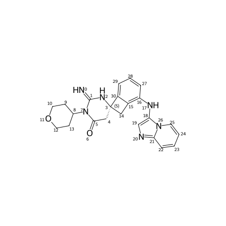 N=C1N[C@]2(CC(=O)N1C1CCOCC1)Cc1c(Nc3cnc4ccccn34)cccc12